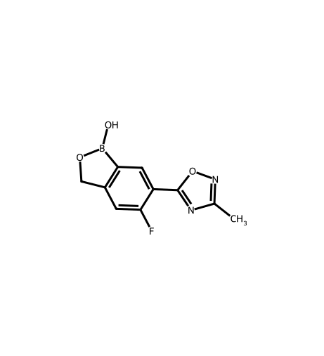 Cc1noc(-c2cc3c(cc2F)COB3O)n1